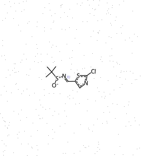 CC(C)(C)[S+]([O-])/N=C/c1cnc(Cl)s1